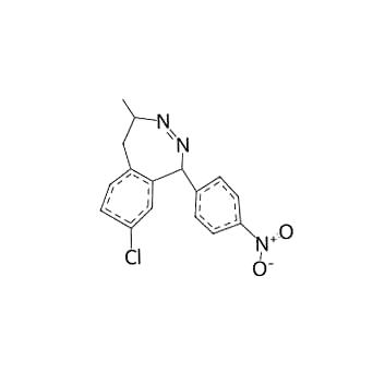 CC1Cc2ccc(Cl)cc2C(c2ccc([N+](=O)[O-])cc2)N=N1